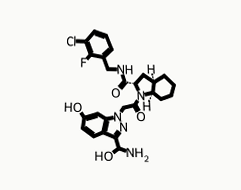 NC(O)c1nn(CC(=O)N2[C@@H]3CCCC[C@@H]3C[C@H]2C(=O)NCc2cccc(Cl)c2F)c2cc(O)ccc12